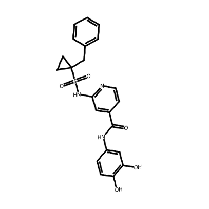 O=C(Nc1ccc(O)c(O)c1)c1ccnc(NS(=O)(=O)C2(Cc3ccccc3)CC2)c1